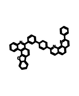 C1=CC(c2cccc(-c3nc4ccccc4c4c3ccc3c5ccccc5oc34)c2)CC=C1c1ccc2ccc3ccc(-c4ccccc4)nc3c2n1